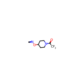 C=NOC1CCN(C(=O)C(F)(F)F)CC1